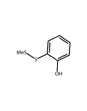 CSSc1ccccc1O